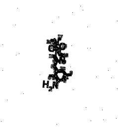 Cc1cc(N)c(C)c(Cc2cn(S(=O)(=O)N(C)C)cn2)c1